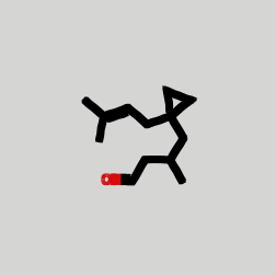 CC(C)=CCC1(CC(C)CC=O)CC1